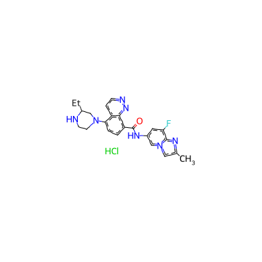 CCC1CN(c2ccc(C(=O)Nc3cc(F)c4nc(C)cn4c3)c3nnccc23)CCN1.Cl